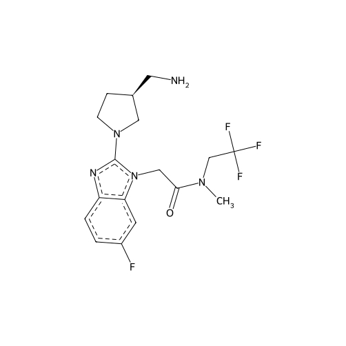 CN(CC(F)(F)F)C(=O)Cn1c(N2CC[C@@H](CN)C2)nc2ccc(F)cc21